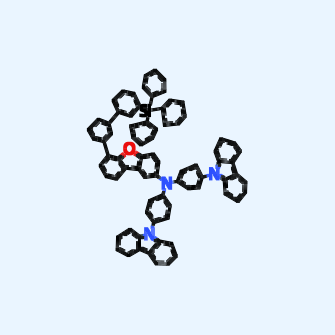 c1ccc([Si](c2ccccc2)(c2ccccc2)c2cccc(-c3cccc(-c4cccc5c4oc4ccc(N(c6ccc(-n7c8ccccc8c8ccccc87)cc6)c6ccc(-n7c8ccccc8c8ccccc87)cc6)cc45)c3)c2)cc1